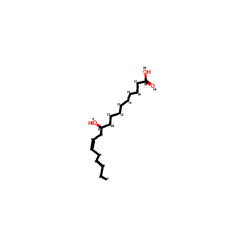 CCCCC/C=C\CC(O)CCCCCCCCC(=O)O